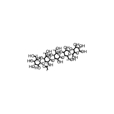 CC(=O)N[C@H]1C(O[C@@H]2OC(CO)[C@H](O)[C@H](O)C2O)[C@@H](O)C(CO)O[C@H]1O[C@@H]1C(O)[C@@H](O[C@H]2C(CO)O[C@@H](O[C@@H]3C(CO)OC(O)[C@@H](O)C3O)[C@@H](O)C2O)OC(CO)[C@H]1O